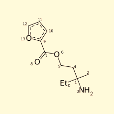 CCC(C)(N)CCOC(=O)c1ccco1